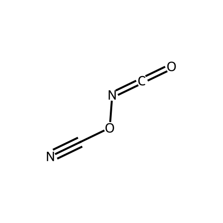 N#CON=C=O